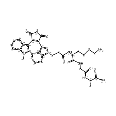 C[C@H](NC(=O)CNC(=O)[C@H](CCCCN)NC(=O)CCn1cc(C2=C(c3cn(C)c4ccccc34)C(=O)NC2=O)c2ccccc21)C(N)=O